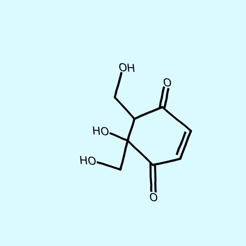 O=C1C=CC(=O)C(O)(CO)C1CO